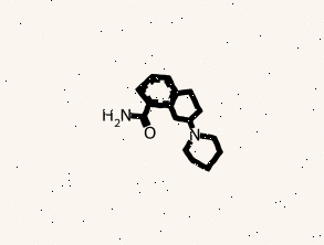 NC(=O)c1cccc2c1CC(N1CCCCC1)CC2